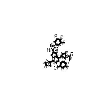 O=S(=O)(N[C@H]1CC2=C(c3ccn(C(F)F)n3)[C@H](c3ccc(F)cc3Cl)N=C(c3nccs3)N2C1)c1cc(F)c(F)c(F)c1